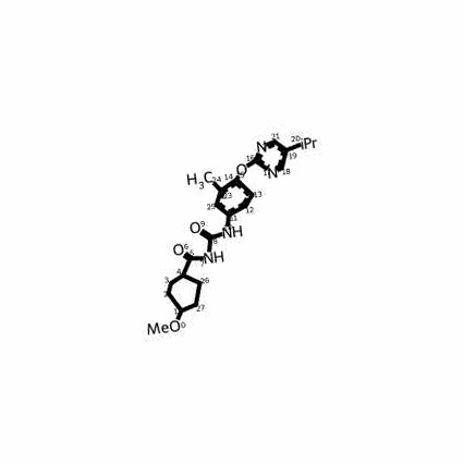 COC1CCC(C(=O)NC(=O)Nc2ccc(Oc3ncc(C(C)C)cn3)c(C)c2)CC1